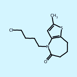 Cc1cc2c(s1)CCCC(=O)N2CCCCCl